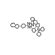 c1ccc(-c2nc(-c3ccc(-c4ccc5ccccc5c4)cc3)nc(-c3cccc4c3-c3c(ccc5ccccc35)[Si]4(c3ccccc3)c3ccccc3)n2)cc1